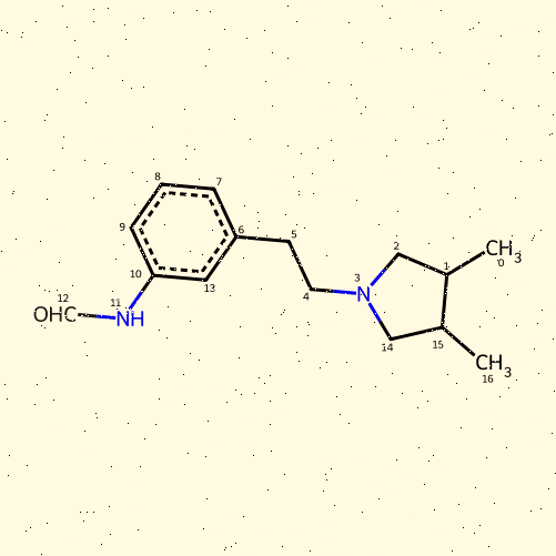 CC1CN(CCc2cccc(NC=O)c2)CC1C